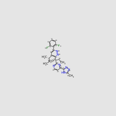 CC[C@H](C)c1cc(-c2c(F)cccc2F)nnc1[C@@](C)(CC)c1nccc(-c2nnc(C)[nH]2)n1